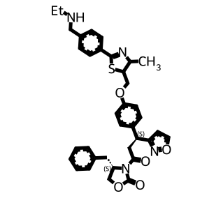 CCNCc1ccc(C2=NC(C)C(COc3ccc([C@H](CC(=O)N4C(=O)OC[C@@H]4Cc4ccccc4)c4ccon4)cc3)S2)cc1